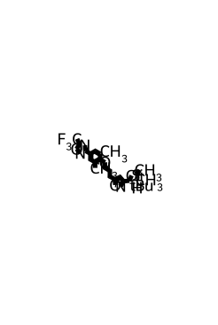 Cc1cc(-c2noc(C(F)(F)F)n2)cc(C)c1OCCCc1cc(C(O[SiH](C)C)C(C)(C)C)no1